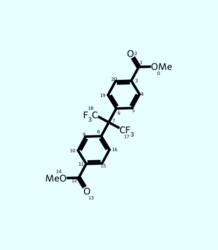 COC(=O)c1ccc(C(c2ccc(C(=O)OC)cc2)(C(F)(F)F)C(F)(F)F)cc1